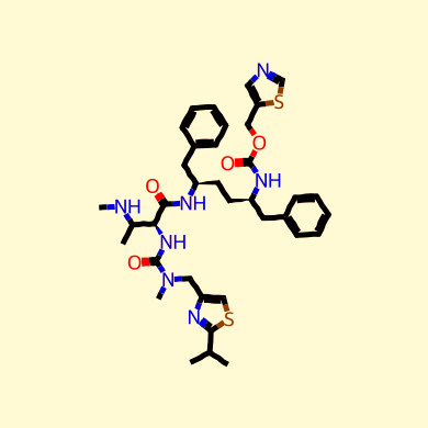 CNC(C)[C@H](NC(=O)N(C)Cc1csc(C(C)C)n1)C(=O)N[C@H](CC[C@H](Cc1ccccc1)NC(=O)OCc1cncs1)Cc1ccccc1